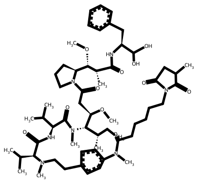 CC[C@H](C)[C@@H]([C@@H](CC(=O)N1CCC[C@H]1[C@H](OC)[C@@H](C)C(=O)N[C@@H](Cc1ccccc1)C(O)O)OC)N(C)C(=O)[C@@H](NC(=O)[C@H](C(C)C)N(C)CCc1ccc(N(C)C(=O)CCCCCN2C(=O)CC(C)C2=O)cc1)C(C)C